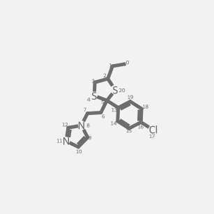 CCC1CSC(CCn2ccnc2)(c2ccc(Cl)cc2)S1